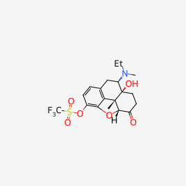 CCN(C)[C@@H]1Cc2ccc(OS(=O)(=O)C(F)(F)F)c3c2[C@@]2(C)[C@@H](O3)C(=O)CC[C@@]12O